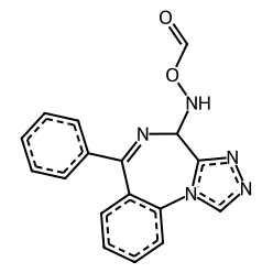 O=CONC1N=C(c2ccccc2)c2ccccc2-n2cnnc21